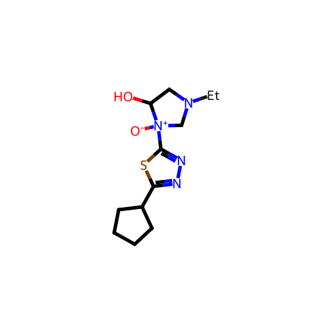 CCN1CC(O)[N+]([O-])(c2nnc(C3CCCC3)s2)C1